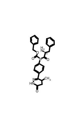 CC1CC(=O)NN=C1c1ccc(N(C(=O)OCc2ccccc2)C(=O)[C@@H](N)Cc2ccccc2)cc1